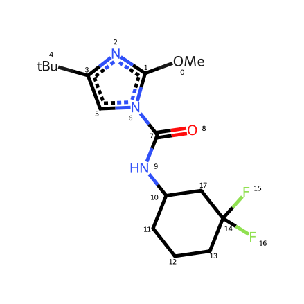 COc1nc(C(C)(C)C)cn1C(=O)NC1CCCC(F)(F)C1